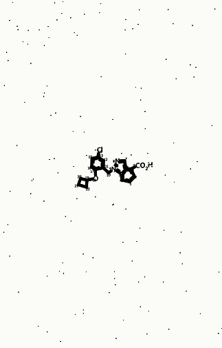 O=C(O)c1cccc2c1cnn2Cc1cc(Cl)ccc1OC1CCC1